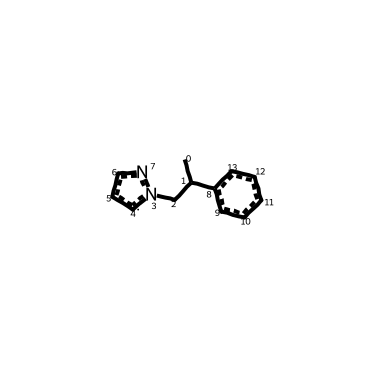 CC(Cn1[c]ccn1)c1ccccc1